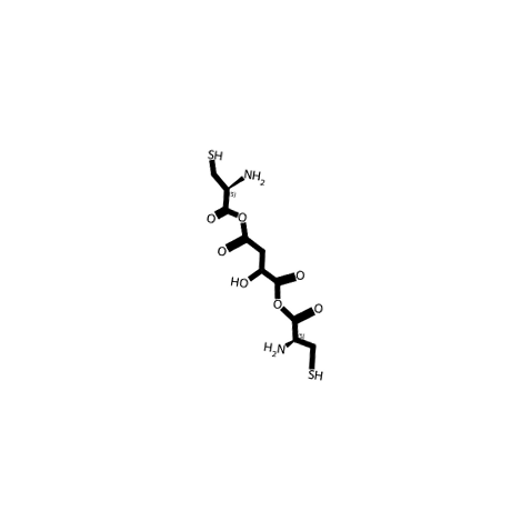 N[C@H](CS)C(=O)OC(=O)CC(O)C(=O)OC(=O)[C@H](N)CS